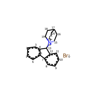 [Br-].c1ccc2c(c1)-c1ccccc1C2[N+]12CCC(CC1)CC2